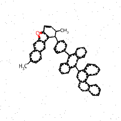 Cc1ccc2cc3c4c(oc3cc2c1)C=CC(C)C4c1ccc(-c2c3ccccc3c(-c3cc4ccc5ccccc5c4c4ccccc34)c3ccccc23)cc1